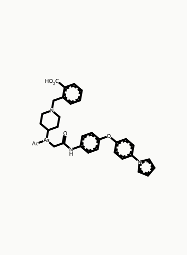 CC(=O)[As](CC(=O)Nc1ccc(Oc2ccc(-n3cccc3)cc2)cc1)C1CCN(Cc2ccccc2C(=O)O)CC1